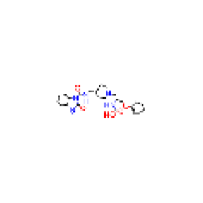 Cn1c(=O)n(C(=O)NCC2CCN(CC(COc3ccccc3)NC(=O)O)CC2)c2ccccc21